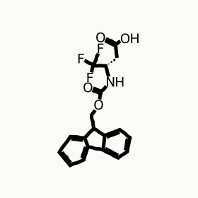 O=C(O)C[C@H](NC(=O)OCC1c2ccccc2-c2ccccc21)C(F)(F)F